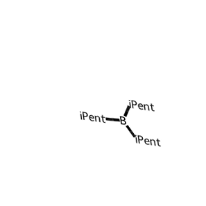 CCCC(C)B(C(C)CCC)C(C)CCC